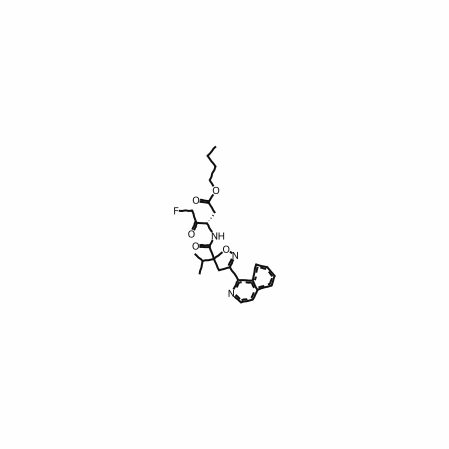 CCCCOC(=O)C[C@H](NC(=O)C1(C(C)C)CC(c2nccc3ccccc23)=NO1)C(=O)CF